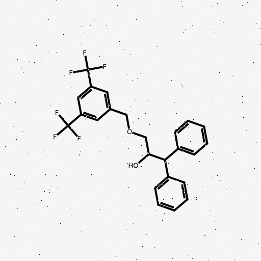 OC(COCc1cc(C(F)(F)F)cc(C(F)(F)F)c1)C(c1ccccc1)c1ccccc1